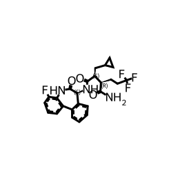 NC(=O)[C@H](CCC(F)(F)F)[C@H](CC1CC1)C(=O)N[C@@H]1C(=O)Nc2c(F)cccc2-c2ccccc21